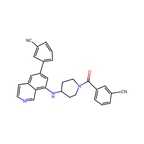 N#Cc1cccc(C(=O)N2CCC(Nc3cc(-c4cccc(C#N)c4)cc4ccncc34)CC2)c1